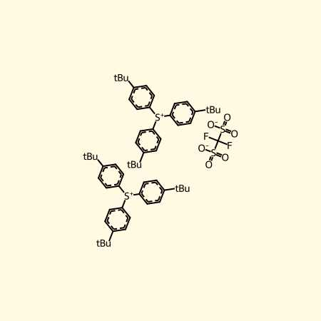 CC(C)(C)c1ccc([S+](c2ccc(C(C)(C)C)cc2)c2ccc(C(C)(C)C)cc2)cc1.CC(C)(C)c1ccc([S+](c2ccc(C(C)(C)C)cc2)c2ccc(C(C)(C)C)cc2)cc1.O=S(=O)([O-])C(F)(F)S(=O)(=O)[O-]